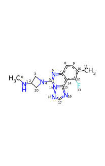 CNC1CN(c2nc3ccc(C)c(F)c3c3ncnn23)C1